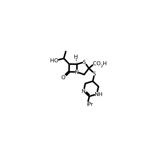 CC(C)C1=NCC(SC2(C(=O)O)CN3C(=O)C(C(C)O)[C@H]3S2)CN1